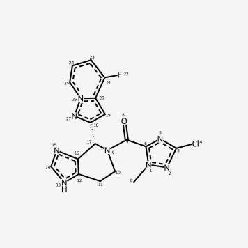 Cn1nc(Cl)nc1C(=O)N1CCc2[nH]cnc2[C@@H]1c1cc2c(F)cccn2n1